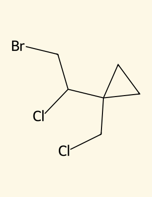 ClCC1(C(Cl)CBr)CC1